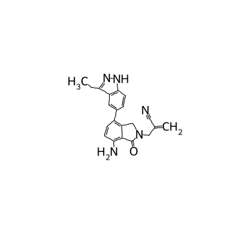 C=C(C#N)CN1Cc2c(-c3ccc4[nH]nc(CC)c4c3)ccc(N)c2C1=O